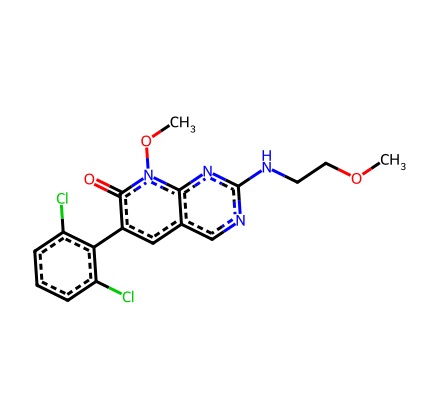 COCCNc1ncc2cc(-c3c(Cl)cccc3Cl)c(=O)n(OC)c2n1